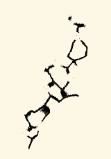 Cc1cn2cc(-c3cc(C)c4nc(C5(F)CCN(C(=O)OC(C)(C)C)CC5)[nH]c(=O)c4n3)ccc2n1